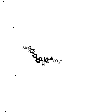 COc1cnc(-c2ccc(-c3cccc4c3CC[C@H]4Nc3cnc([C@@H]4C[C@H]4C(=O)O)cn3)cc2)cn1